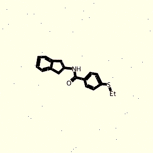 CCSc1ccc(C(=O)NC2Cc3ccccc3C2)cc1